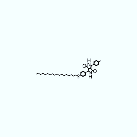 CCCCCCCCCCCCCCCCCCSc1ccc(C2=C3C(=O)NC(c4ccc(C)cc4)=C3C(=O)N2)cc1